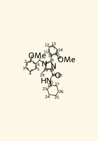 COc1ccccc1Cn1c(-c2ccccc2OC)nc(C(=O)NC2CCCCC2)c1C